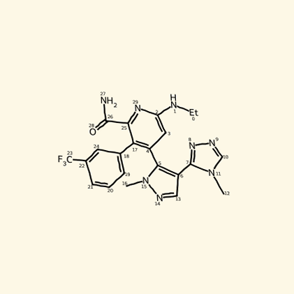 CCNc1cc(-c2c(-c3nncn3C)cnn2C)c(-c2cccc(C(F)(F)F)c2)c(C(N)=O)n1